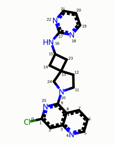 Clc1cc2ncccc2c(N2CCC3(CC(Nc4ncccn4)C3)C2)n1